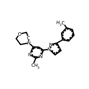 Cc1cccc(-c2ccn(-c3cc(N4CCOCC4)nc(C)n3)n2)c1